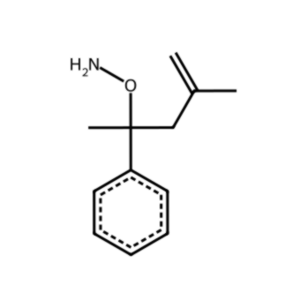 C=C(C)CC(C)(ON)c1ccccc1